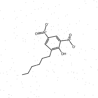 CCCCCCc1cc([N+](=O)[O-])cc([N+](=O)[O-])c1O